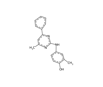 Cc1cc(-c2ccccc2)nc(Nc2ccc(O)c(C)c2)n1